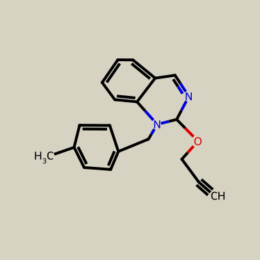 C#CCOC1N=Cc2ccccc2N1Cc1ccc(C)cc1